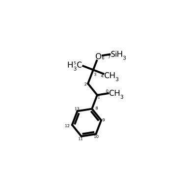 CC(CC(C)(C)O[SiH3])c1ccccc1